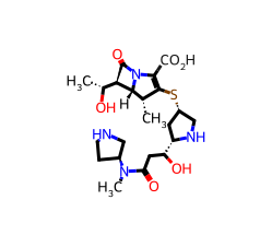 C[C@@H](O)[C@H]1C(=O)N2C(C(=O)O)=C(S[C@@H]3CN[C@H](C(O)CC(=O)N(C)[C@H]4CCNC4)C3)[C@H](C)[C@H]12